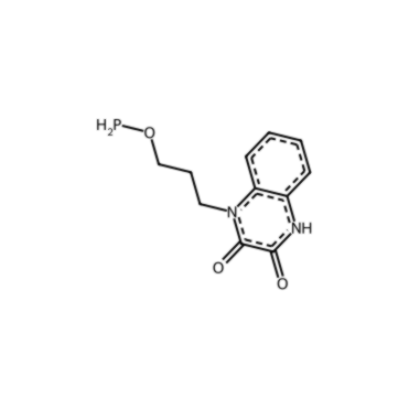 O=c1[nH]c2ccccc2n(CCCOP)c1=O